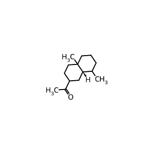 CC(=O)C1CCC2(C)CCCC(C)[C@@H]2C1